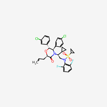 C=CC[C@H]1O[C@H](c2cccc(Cl)c2)[C@@H](c2ccc(Cl)cc2)N([C@H](CN(c2c(F)cccc2F)S(=O)(=O)C2CC2)C2CC2)C1=O